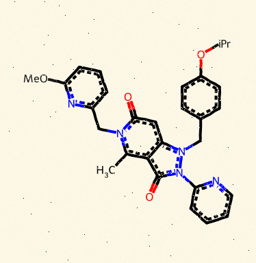 COc1cccc(Cn2c(C)c3c(=O)n(-c4ccccn4)n(Cc4ccc(OC(C)C)cc4)c3cc2=O)n1